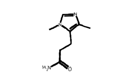 Cc1ncn(C)c1CCC(N)=O